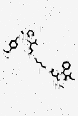 C=C(NCc1ccc(-c2scnc2C)cc1)[C@@H]1CC(O)CN1C(=O)C(c1cc(OCCCCCNC(=O)CC2N=C(c3ccc(Cl)cc3)c3c(sc(C)c3C)-n3c(C)nnc32)no1)C(C)C